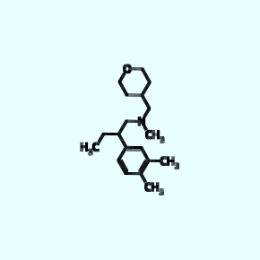 CCC(CN(C)CC1CCOCC1)c1ccc(C)c(C)c1